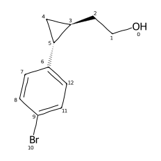 OCC[C@@H]1C[C@H]1c1ccc(Br)cc1